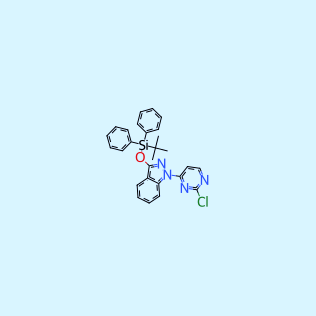 CC(C)(C)[Si](Oc1nn(-c2ccnc(Cl)n2)c2ccccc12)(c1ccccc1)c1ccccc1